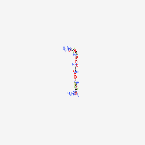 C/C(=C\c1cc(F)c(Oc2ccc(SNCCOCCOCCOCCNC(=O)CCCCCCC(=O)NCCOCCOCCOCCNSc3ccc(Oc4c(F)cc(/C=C(\C)C(=O)N=C(N)N)cc4F)cc3)cc2)c(F)c1)C(=O)N=C(N)N